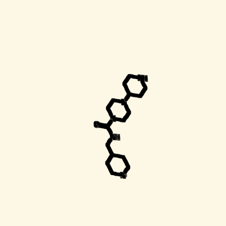 O=C(NCC1CC[N]CC1)N1CCN(C2CCNCC2)CC1